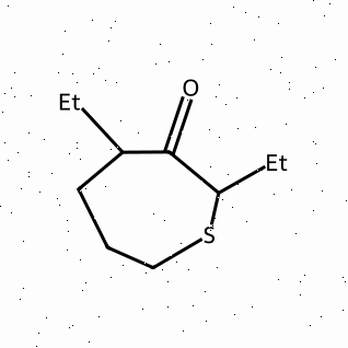 CCC1CCCSC(CC)C1=O